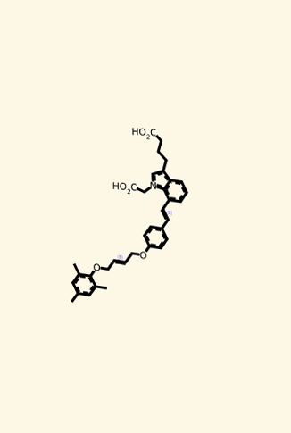 Cc1cc(C)c(OC/C=C/COc2ccc(/C=C/c3cccc4c(CCCC(=O)O)cn(CC(=O)O)c34)cc2)c(C)c1